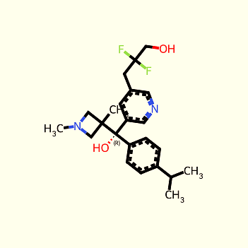 CC(C)c1ccc([C@](O)(c2cncc(CC(F)(F)CO)c2)C2(C)CN(C)C2)cc1